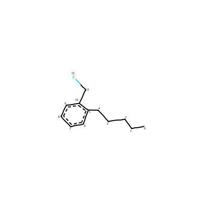 CCCCCc1ccccc1CF